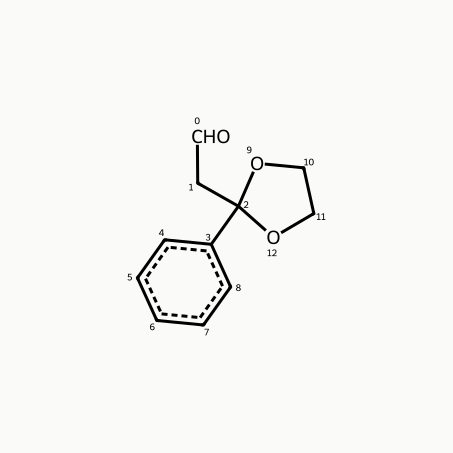 O=CCC1(c2ccccc2)OCCO1